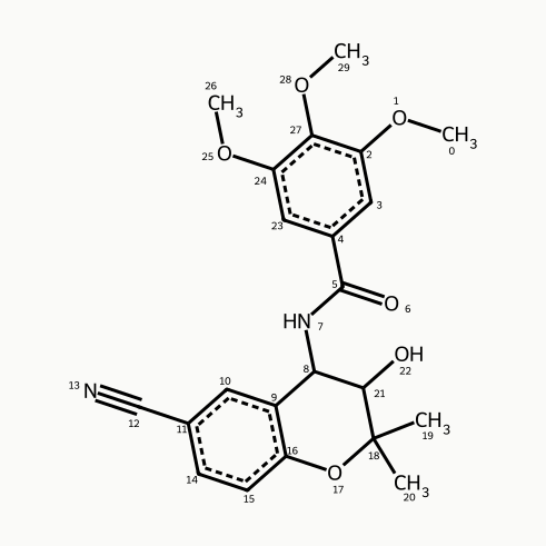 COc1cc(C(=O)NC2c3cc(C#N)ccc3OC(C)(C)C2O)cc(OC)c1OC